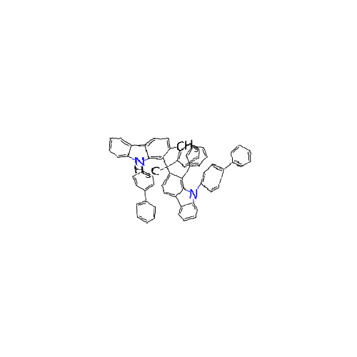 Cc1ccc2c3ccccc3n(-c3ccc(-c4ccccc4)cc3)c2c1C(C)(c1ccccc1)c1ccc2c3ccccc3n(-c3ccc(-c4ccccc4)cc3)c2c1-c1ccccc1